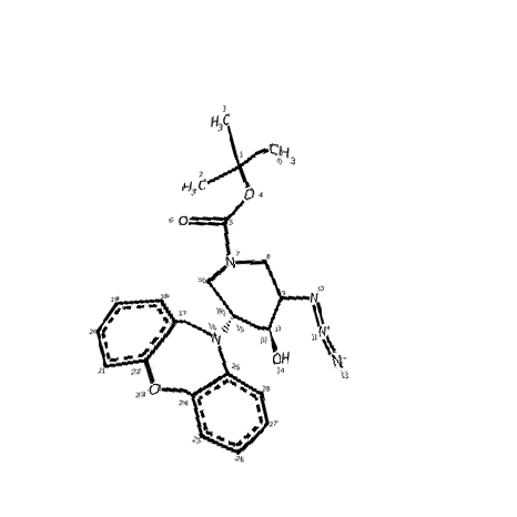 CC(C)(C)OC(=O)N1CC(N=[N+]=[N-])[C@@H](O)[C@H](N2c3ccccc3Oc3ccccc32)C1